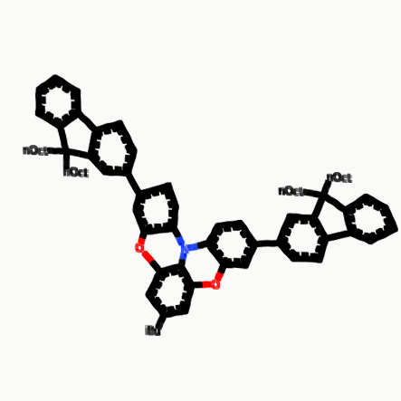 CCCCCCCCC1(CCCCCCCC)c2ccccc2-c2ccc(-c3ccc4c(c3)Oc3cc(C(C)CC)cc5c3N4c3ccc(-c4ccc6c(c4)C(CCCCCCCC)(CCCCCCCC)c4ccccc4-6)cc3O5)cc21